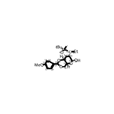 CCO[C@H]1[C@@H](O[Si](C)(C)C(C)(C)C)[C@@H]2OC(c3ccc(OC)cc3)OC[C@H]2O[C@@H]1O